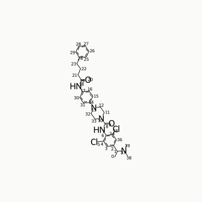 CC(c1cc(Cl)c(NC(=O)N2CCN(c3ccc(NC(=O)CCCc4ccccc4)cc3)CC2)c(Cl)c1)N(C)C